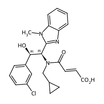 Cn1c([C@H]([C@H](O)c2cccc(Cl)c2)N(CC2CC2)C(=O)C=CC(=O)O)nc2ccccc21